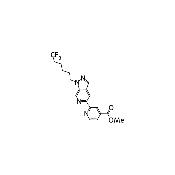 COC(=O)c1ccnc(-c2cc3cnn(CCCCCC(F)(F)F)c3cn2)c1